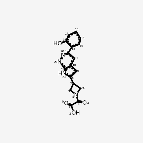 O=C(O)C(=O)N1CC(c2cc3cc(-c4ccccc4O)nnc3[nH]2)C1